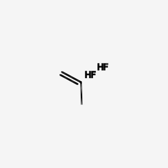 C=CC.F.F